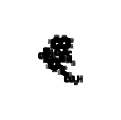 CC(C(=O)Nc1cc(CS(C)(=O)=O)ccc1CCCC(=O)O)c1cccc2ccccc12